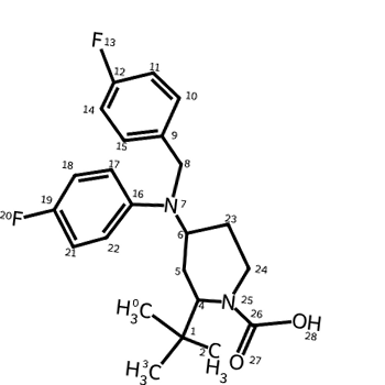 CC(C)(C)C1CC(N(Cc2ccc(F)cc2)c2ccc(F)cc2)CCN1C(=O)O